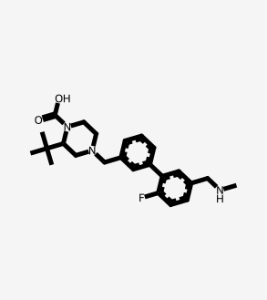 CNCc1ccc(F)c(-c2cccc(CN3CCN(C(=O)O)C(C(C)(C)C)C3)c2)c1